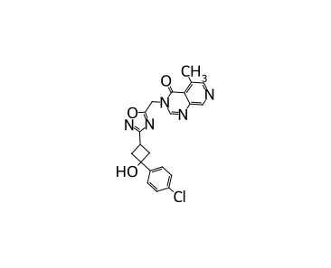 Cc1cncc2ncn(Cc3nc(C4CC(O)(c5ccc(Cl)cc5)C4)no3)c(=O)c12